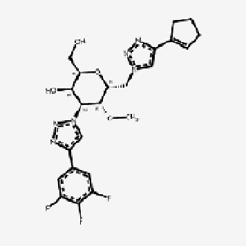 CO[C@@H]1[C@@H](n2cc(-c3cc(F)c(F)c(F)c3)nn2)[C@@H](O)[C@@H](CO)O[C@@H]1Cn1cc(C2=CCCC2)nn1